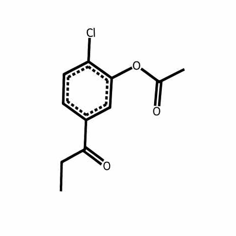 CCC(=O)c1ccc(Cl)c(OC(C)=O)c1